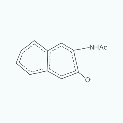 CC(=O)Nc1cc2ccccc2cc1[O]